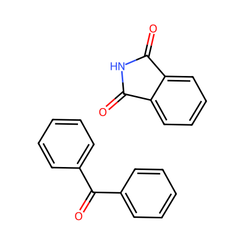 O=C(c1ccccc1)c1ccccc1.O=C1NC(=O)c2ccccc21